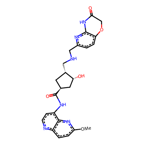 COc1ccc2nccc(NC(=O)[C@H]3C[C@H](CNCc4ccc5c(n4)NC(=O)CO5)[C@H](O)C3)c2n1